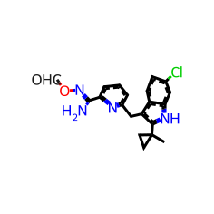 CC1(c2[nH]c3cc(Cl)ccc3c2Cc2cccc(/C(N)=N/OC=O)n2)CC1